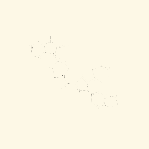 O=C(c1cc(-c2ccncc2)n(-c2ccc3c(c2)OCO3)n1)N1CCC(n2c(=O)[nH]c3ccccc32)CC1